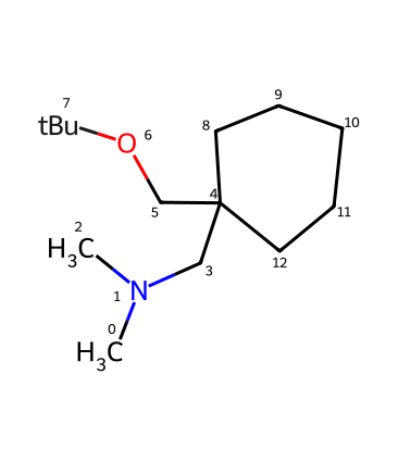 CN(C)CC1(COC(C)(C)C)CCCCC1